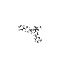 CS(=O)(=O)N[C@H]1CCN(c2cccc(F)n2)CC1COC1CCC(c2ccccc2)CC1